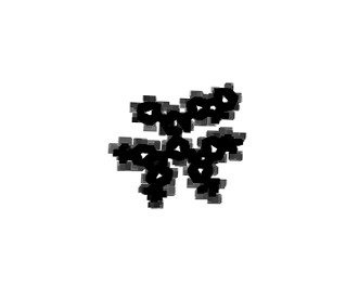 CC1(C)c2ccccc2-c2ccc(-c3cc(-c4ccccc4)nc(-c4cc(-n5c6ccc([Si](C)(C)C)cc6c6cc([Si](C)(C)C)ccc65)cc(-n5c6ccc([Si](C)(C)C)cc6c6cc([Si](C)(C)C)ccc65)c4)n3)cc21